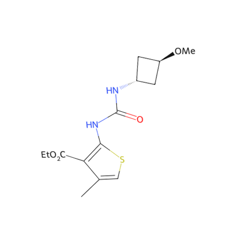 CCOC(=O)c1c(C)csc1NC(=O)N[C@H]1C[C@H](OC)C1